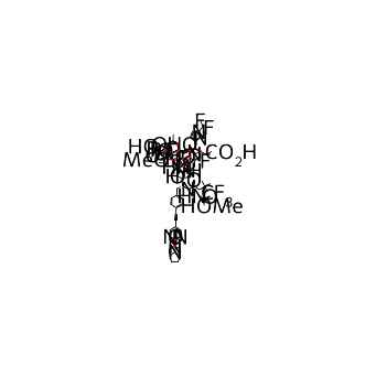 COC(=O)N[C@H](C(=O)N[C@@H](Cc1ccc(C#Cc2cnc(N3CC4CCC(C3)N4C3COC3)nc2)cc1)[C@H](CN(Cc1c(F)cc(-c2ccn(C(F)F)n2)cc1F)NC(=O)[C@@H](NC(=O)OC)C(C)(C)C(F)(F)F)OC(=O)CC(C)(C)c1c(CC(=O)NCCC(=O)O)cc(C)cc1OP(=O)(O)O)C(C)(C)C(F)(F)F